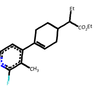 CCOC(=O)C(CC)C1CC=C(c2ccnc(F)c2C)CC1